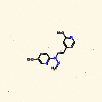 C=NN(/C=C/c1ccnc(OC)c1)c1ccc(C=O)cn1